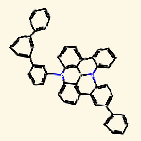 c1ccc(-c2cccc(-c3cccc(N4c5cccc6c5B5c7c(cccc74)-c4cc(-c7ccccc7)ccc4N5c4ccccc4-6)c3)c2)cc1